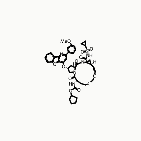 COc1cccc(-c2cc(O[C@@H]3C[C@H]4C(=O)N[C@]5(C(=O)NS(=O)(=O)C6CC6)C[C@H]5/C=C\CCCCC[C@H](NC(=O)OC5CCCC5)C(=O)N4C3)c3oc4ccccc4c3n2)c1